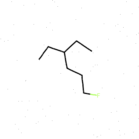 CCC(CC)CCCF